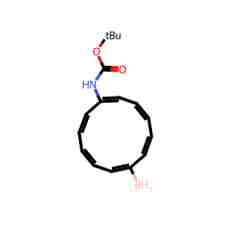 BC1=C/C=C\C=C/C(NC(=O)OC(C)(C)C)=C\C=C/C=C\1